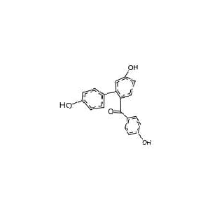 O=C(c1ccc(O)cc1)c1ccc(O)cc1-c1ccc(O)cc1